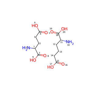 NC(CCC(=O)O)C(=O)O.NC(CCCC(=O)O)C(=O)O